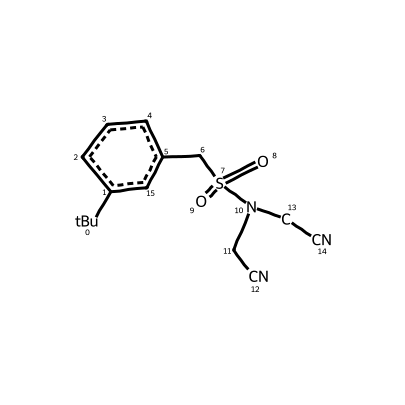 CC(C)(C)c1cccc(CS(=O)(=O)N(CC#N)CC#N)c1